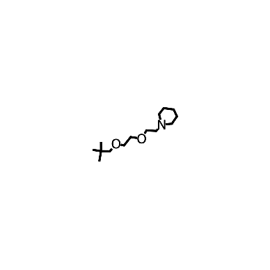 CC(C)(C)COCCOCCN1CCCCC1